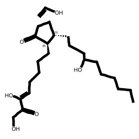 C=CO.CCCCCCC(O)CCC[C@H]1CCC(=O)[C@@H]1CCCCC=C(O)C(=O)CO